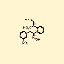 CO/C=C(\C(=O)O)c1ccccc1/C(Cc1cccc([N+](=O)[O-])c1)=N\O